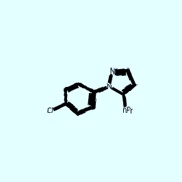 CCCc1[c]cnn1-c1ccc(Cl)cc1